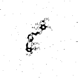 COc1ccc(CN2CCN(CCCOc3cc(C)c(OC(C)=O)c(C)c3C)CC2)c(OC)c1OC